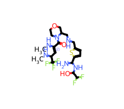 CN/C(=C\C(NC)C(F)(F)F)C(=O)N1CCOCC1CNCc1ccc(C(N)NC(O)C(F)F)s1